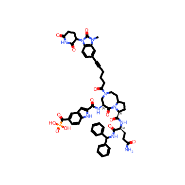 Cn1c(=O)n(C2CCC(=O)NC2=O)c2ccc(C#CCCCC(=O)N3CCC4CC[C@@H](C(=O)N[C@@H](CCC(N)=O)C(=O)NC(c5ccccc5)c5ccccc5)N4C(=O)[C@@H](NC(=O)c4cc5cc(C(=O)P(=O)(O)O)ccc5[nH]4)C3)cc21